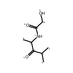 CC(C)C(=O)C(C)NC(=O)CO